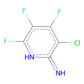 N=c1[nH]c(F)c(F)c(F)c1Cl